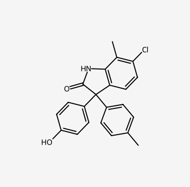 Cc1ccc(C2(c3ccc(O)cc3)C(=O)Nc3c2ccc(Cl)c3C)cc1